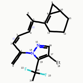 C=C(/C=C\C=C(/C)C1=C2CC2CCC1)n1ncc(CC)c1C(C)(F)F